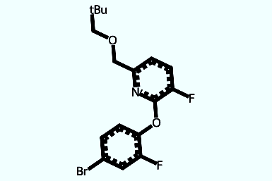 CC(C)(C)COCc1ccc(F)c(Oc2ccc(Br)cc2F)n1